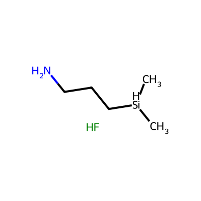 C[SiH](C)CCCN.F